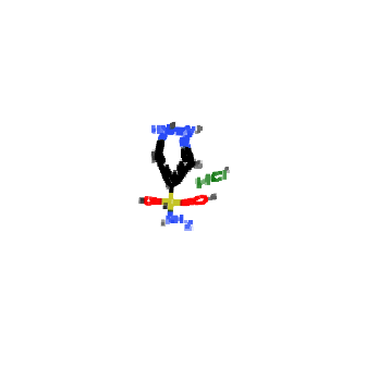 Cl.NS(=O)(=O)c1cn[nH]c1